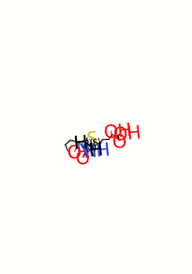 O=C(O)C(O)CCC[C@@H]1SC[C@H]2[C@@H]1NC(=O)N2C1CCCCO1